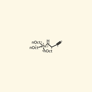 C#CCN[PH](CCCCCCCC)(CCCCCCCC)CCCCCCCC